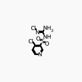 NC(=NCl)NS(=O)(=O)c1cnccc1Cl